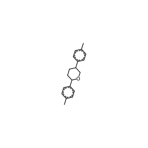 Cc1ccc(C2CCC(c3ccc(C)cc3)OC2)cc1